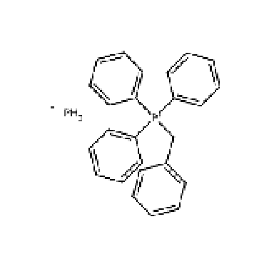 P.[I-].c1ccc(C[P+](c2ccccc2)(c2ccccc2)c2ccccc2)cc1